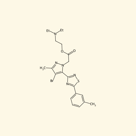 CCN(CC)CCOC(=O)Cn1nc(C)c(Br)c1-c1nsc(-c2cccc(C)c2)n1